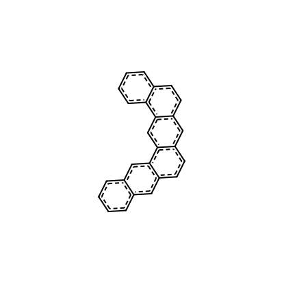 c1ccc2cc3c(ccc4cc5ccc6ccccc6c5cc43)cc2c1